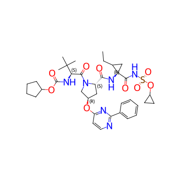 CCC1C[C@]1(NC(=O)[C@@H]1C[C@@H](Oc2ccnc(-c3ccccc3)n2)CN1C(=O)[C@@H](NC(=O)OC1CCCC1)C(C)(C)C)C(=O)NS(=O)(=O)OC1CC1